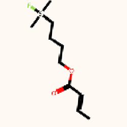 CC=CC(=O)OCCCC[Si](C)(C)F